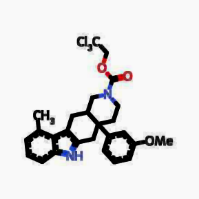 COc1cccc(C23CCN(C(=O)OCC(Cl)(Cl)Cl)CC2Cc2c([nH]c4cccc(C)c24)C3)c1